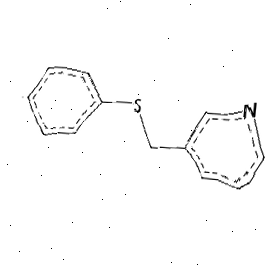 [c]1ccc(SCc2cccnc2)cc1